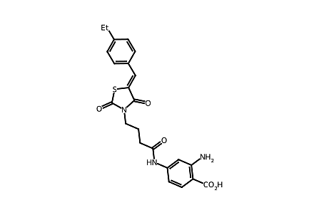 CCc1ccc(/C=C2\SC(=O)N(CCCC(=O)Nc3ccc(C(=O)O)c(N)c3)C2=O)cc1